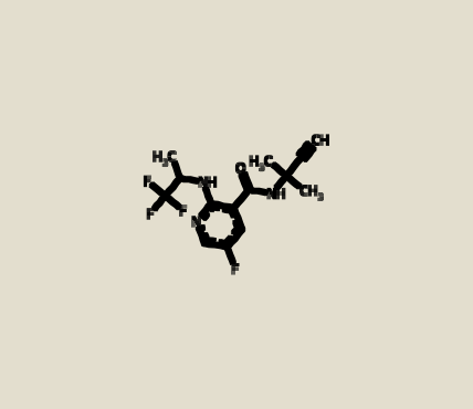 C#CC(C)(C)NC(=O)c1cc(F)cnc1NC(C)C(F)(F)F